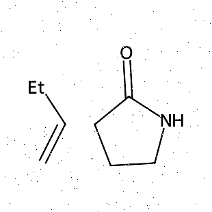 C=CCC.O=C1CCCN1